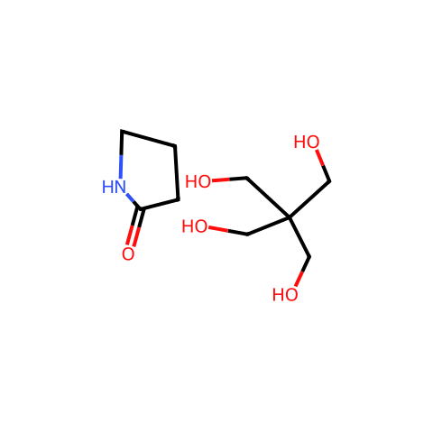 O=C1CCCN1.OCC(CO)(CO)CO